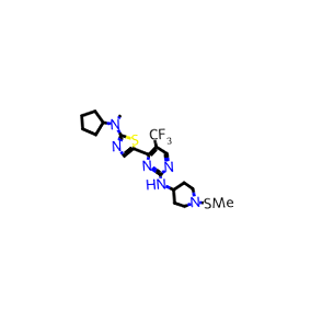 CSN1CCC(Nc2ncc(C(F)(F)F)c(-c3cnc(N(C)C4CCCC4)s3)n2)CC1